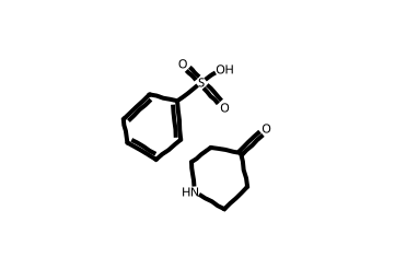 O=C1CCNCC1.O=S(=O)(O)c1ccccc1